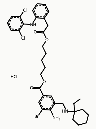 CCC1(NCc2cc(C(=O)OCCCCCOC(=O)Cc3ccccc3Nc3c(Cl)cccc3Cl)cc(Br)c2N)CCCCC1.Cl